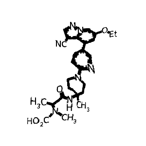 CCOc1cc(-c2ccc(N3CCC(C)(NC(=O)C(C)N(C)C(=O)O)CC3)nc2)c2c(C#N)cnn2c1